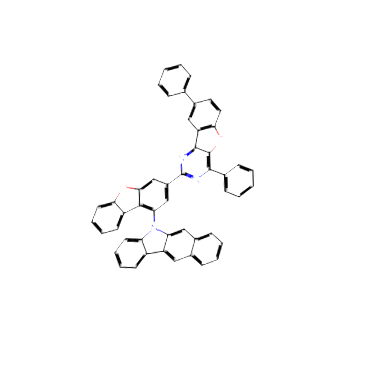 c1ccc(-c2ccc3oc4c(-c5ccccc5)nc(-c5cc(-n6c7ccccc7c7cc8ccccc8cc76)c6c(c5)oc5ccccc56)nc4c3c2)cc1